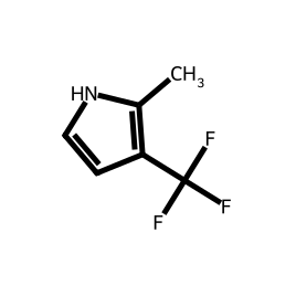 Cc1[nH]ccc1C(F)(F)F